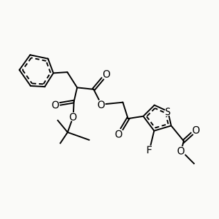 COC(=O)c1scc(C(=O)COC(=O)C(Cc2ccccc2)C(=O)OC(C)(C)C)c1F